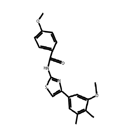 COc1ccc(C(=O)Nc2nc(-c3cc(C)c(C)c(OC)c3)cs2)cc1